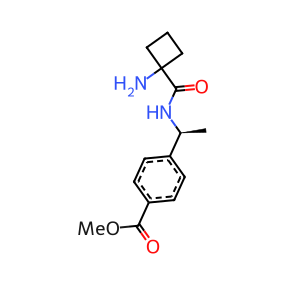 COC(=O)c1ccc([C@H](C)NC(=O)C2(N)CCC2)cc1